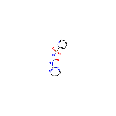 O=C(Nc1ncccn1)NS(=O)(=O)c1ccccn1